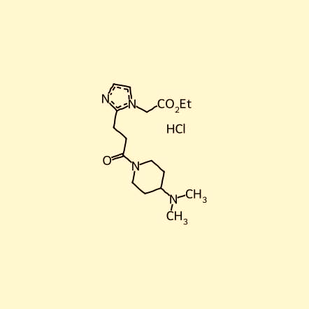 CCOC(=O)Cn1ccnc1CCC(=O)N1CCC(N(C)C)CC1.Cl